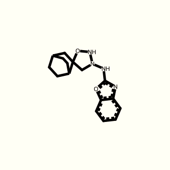 c1ccc2oc(NN3CC4(CC5CCC4CC5)ON3)nc2c1